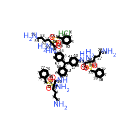 Cl.NCCCC[C@@](N)(C(=O)Nc1ccc(C(c2ccc(NC(=O)[C@](N)(CCCCN)S(=O)(=O)Cc3ccccc3)cc2)c2ccc(NC(=O)[C@](N)(CCCCN)S(=O)(=O)Cc3ccccc3)cc2)cc1)S(=O)(=O)Cc1ccccc1